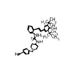 CC(C)(C)c1cc(CCc2ccccc2NC(=O)NC2CCN(Cc3ccc(C#N)cc3)CC2)cc(C(C)(C)C)c1O